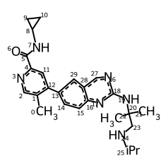 Cc1cnc(C(=O)NC2CC2)cc1-c1ccc2nc(NC(C)(C)CNC(C)C)ncc2c1